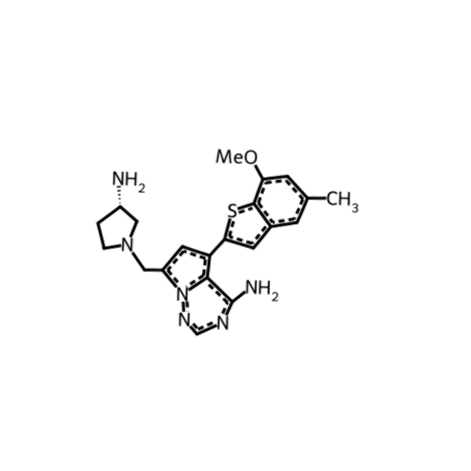 COc1cc(C)cc2cc(-c3cc(CN4CC[C@H](N)C4)n4ncnc(N)c34)sc12